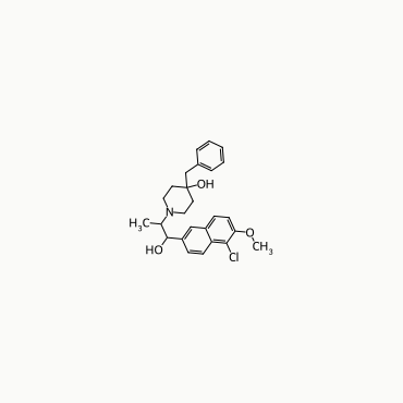 COc1ccc2cc(C(O)C(C)N3CCC(O)(Cc4ccccc4)CC3)ccc2c1Cl